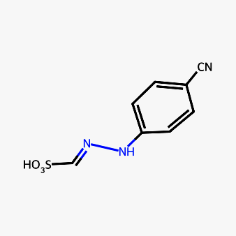 N#Cc1ccc(NN=CS(=O)(=O)O)cc1